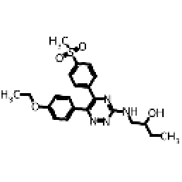 CCOc1ccc(-c2nnc(NCC(O)CC)nc2-c2ccc(S(C)(=O)=O)cc2)cc1